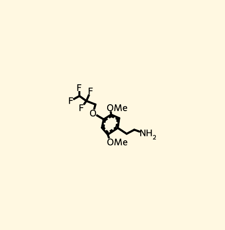 COc1cc(OCC(F)(F)C(F)F)c(OC)cc1CCN